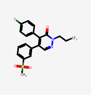 CS(=O)(=O)c1cccc(-c2cnn(CCC(F)(F)F)c(=O)c2-c2ccc(F)cc2)c1